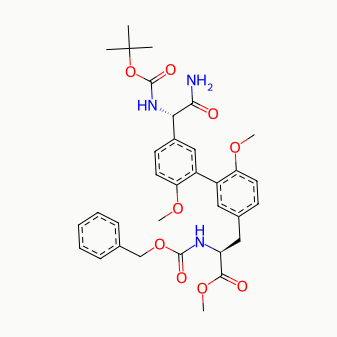 COC(=O)[C@H](Cc1ccc(OC)c(-c2cc([C@H](NC(=O)OC(C)(C)C)C(N)=O)ccc2OC)c1)NC(=O)OCc1ccccc1